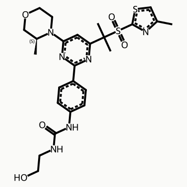 Cc1csc(S(=O)(=O)C(C)(C)c2cc(N3CCOC[C@@H]3C)nc(-c3ccc(NC(=O)NCCO)cc3)n2)n1